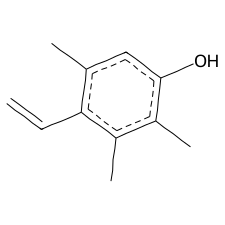 C=Cc1c(C)cc(O)c(C)c1C